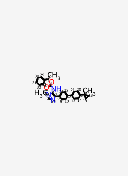 C[C@@H](OC(=O)Nc1c(-c2ccc(-c3ccc(C4(C)CC4)cc3)cc2)ncn1C)c1ccccc1